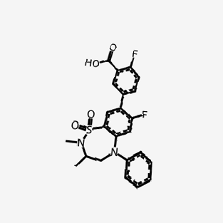 CC1CN(c2ccccc2)c2cc(F)c(-c3ccc(F)c(C(=O)O)c3)cc2S(=O)(=O)N1C